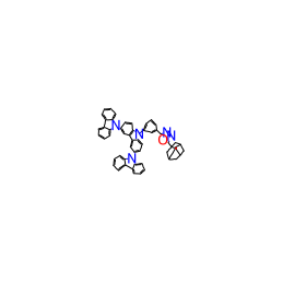 c1cc(-c2nnc(C34CC5CC(CC(C5)C3)C4)o2)cc(-n2c3ccc(-n4c5ccccc5c5ccccc54)cc3c3cc(-n4c5ccccc5c5ccccc54)ccc32)c1